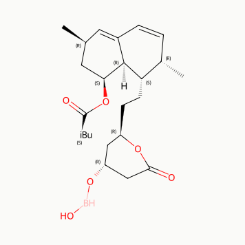 CC[C@H](C)C(=O)O[C@H]1C[C@@H](C)C=C2C=C[C@H](C)[C@H](CC[C@@H]3C[C@@H](OBO)CC(=O)O3)[C@H]21